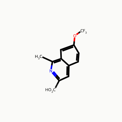 Cc1nc(C(=O)O)cc2ccc(OC(F)(F)F)cc12